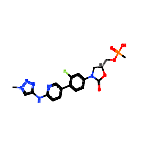 Cn1cc(Nc2ccc(-c3ccc(N4C[C@H](COP(C)(=O)O)OC4=O)cc3F)cn2)nn1